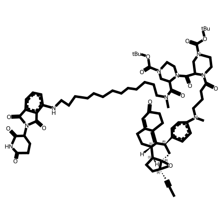 CC#C[C@]12CC[C@H]3[C@@H]4CCC5=CC(=O)CCC5=C4[C@@H](c4ccc(N(C)CCCC(=O)N5CCN(C(=O)OC(C)(C)C)CC5C(=O)N5CCN(C(=O)OC(C)(C)C)CC5C(=O)N(C)CCCCCCCCCCCCCNc5cccc6c5C(=O)N(C5CCC(=O)NC5=O)C6=O)cc4)C[C@@]31O2